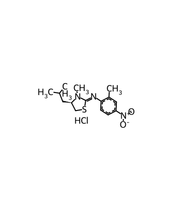 Cc1cc([N+](=O)[O-])ccc1N=C1SC[C@@H](CC(C)C)N1C.Cl